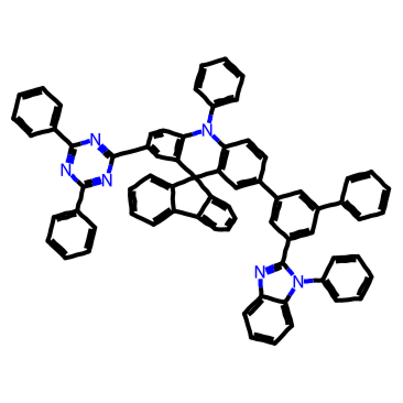 c1ccc(-c2cc(-c3ccc4c(c3)C3(c5ccccc5-c5ccccc53)c3cc(-c5nc(-c6ccccc6)nc(-c6ccccc6)n5)ccc3N4c3ccccc3)cc(-c3nc4ccccc4n3-c3ccccc3)c2)cc1